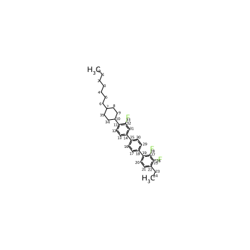 CCCCCCCC1CCC(c2ccc(-c3ccc(-c4ccc(CC)c(F)c4F)cc3)cc2F)CC1